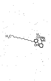 CCCCCCCCCCCCCc1cc(C)cc(-c2ccccc2-c2c[nH]nn2)c1O